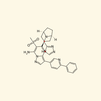 CS(=O)(=O)c1c([C@H]2C[C@H]3CC[C@@H](C2)N3Cc2nnc[nH]2)nc2c(-c3ccc(-c4ccccc4)nc3)cnn2c1N